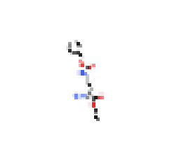 C=CCOC(=O)[C@H](N)CCCNC(=O)OCc1ccccc1